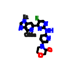 CCn1cnc2c(OC)nc(-c3nc(Nc4ccc(N5CCOCC5=O)cn4)ncc3F)cc21